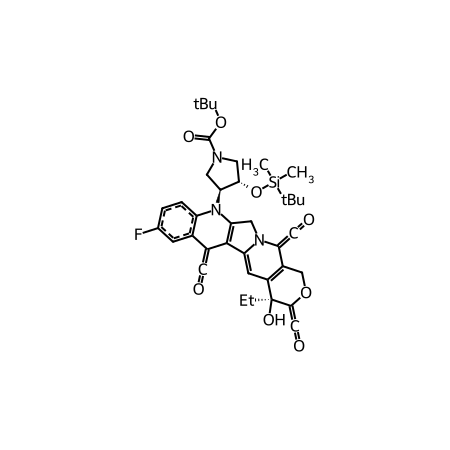 CC[C@@]1(O)C(=C=O)OCC2=C1C=C1C3=C(CN1C2=C=O)N([C@H]1CN(C(=O)OC(C)(C)C)C[C@@H]1O[Si](C)(C)C(C)(C)C)c1ccc(F)cc1C3=C=O